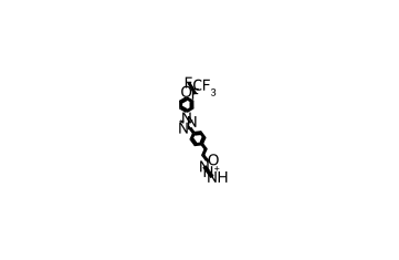 N=[N+]=NC(=O)CCc1ccc(-c2ncn(-c3ccc(OC(F)(F)C(F)(F)F)cc3)n2)cc1